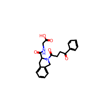 O=C(O)CNC(=O)C1Cc2ccccc2CN1C(=O)CCC(=O)c1ccccc1